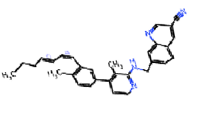 CCC/C=C/C=C\c1cc(-c2ccnc(NCc3ccc4cc(C#N)cnc4c3)c2C)ccc1C